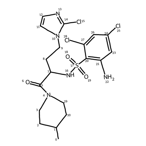 CC1CCN(C(=O)C(CCn2ccnc2Cl)NS(=O)(=O)c2c(N)cc(Cl)cc2Cl)CC1